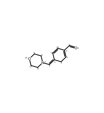 O=[C]C1=CCC(=CN2CCOCC2)C=C1